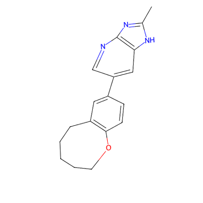 Cc1nc2ncc(-c3ccc4c(c3)CCCCCO4)cc2[nH]1